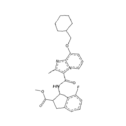 COC(=O)C1Cc2cccc(F)c2C1NC(=O)c1c(C)nc2c(OCC3CCCCC3)cccn12